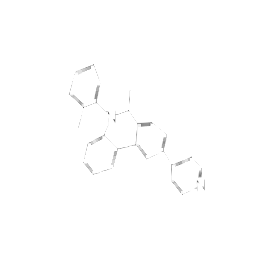 Cc1ccccc1N1c2ccccc2-c2cc(-c3ccncc3)ccc2C1C